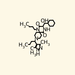 CCCCN1C(=O)[C@@H]([C@H](O)C2CCCCC2)NC(=O)C12CCN(C(CCC)c1c(C)n[nH]c1C)CC2